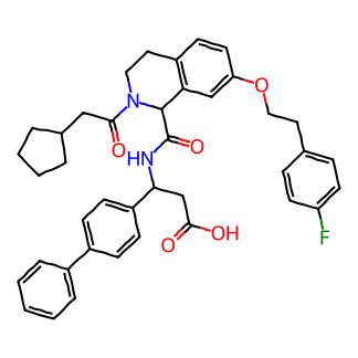 O=C(O)CC(NC(=O)C1c2cc(OCCc3ccc(F)cc3)ccc2CCN1C(=O)CC1CCCC1)c1ccc(-c2ccccc2)cc1